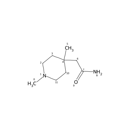 CN1CCC(C)(CC(N)=O)CC1